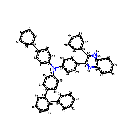 c1ccc(-c2ccc(N(c3ccc(-c4ccccc4-c4ccccc4)cc3)c3ccc(-c4nc5ccccc5nc4-c4ccccc4)cc3)cc2)cc1